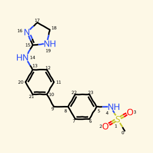 CS(=O)(=O)Nc1ccc(Cc2ccc(NC3=NCCN3)cc2)cc1